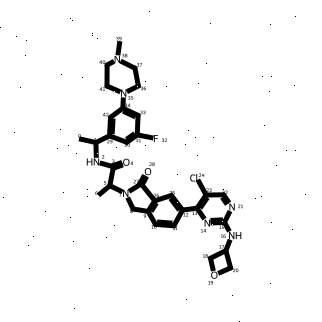 CC(NC(=O)C(C)N1Cc2ccc(-c3nc(NC4COC4)ncc3Cl)cc2C1=O)c1cc(F)cc(N2CCN(C)CC2)c1